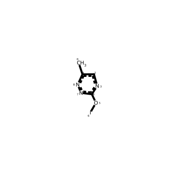 Cc1cnc(OI)nn1